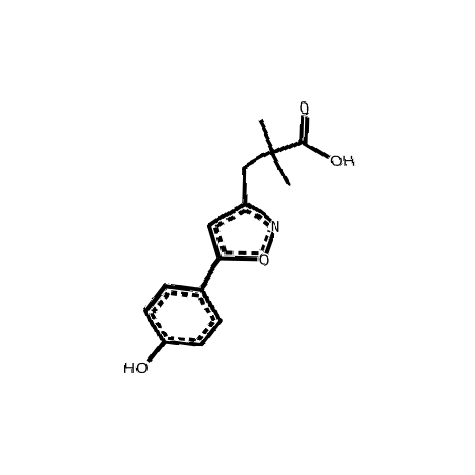 CC(C)(Cc1cc(-c2ccc(O)cc2)on1)C(=O)O